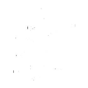 C/C(=C\C(=O)c1c(C)ncc(Cl)c1Cl)Nc1ccc(C)cc1Cl